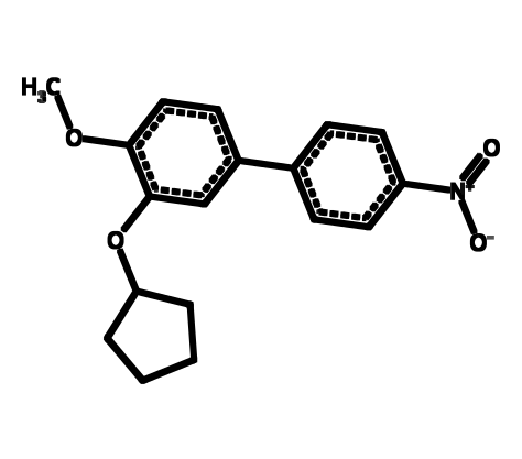 COc1ccc(-c2ccc([N+](=O)[O-])cc2)cc1OC1CCCC1